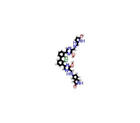 COc1nc(-c2cccc(-c3cccc(-c4cnc(CNC5CCC6(CNC(=O)C6)C5)c(OC)n4)c3Cl)c2Cl)cnc1CNCC1CCC(=O)N1